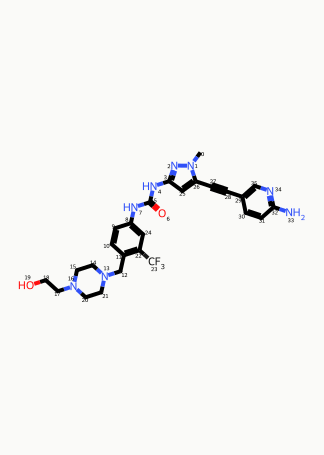 Cn1nc(NC(=O)Nc2ccc(CN3CCN(CCO)CC3)c(C(F)(F)F)c2)cc1C#Cc1ccc(N)nc1